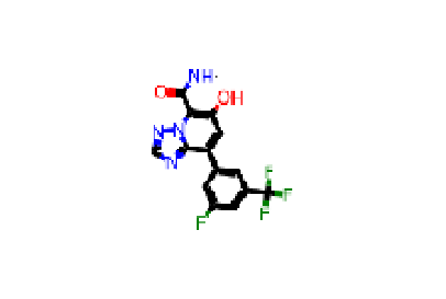 [NH]C(=O)c1c(O)cc(-c2cc(F)cc(C(F)(F)F)c2)c2ncnn12